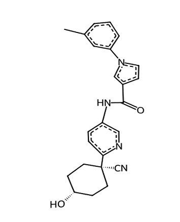 Cc1cccc(-n2ccc(C(=O)Nc3ccc([C@]4(C#N)CC[C@@H](O)CC4)nc3)c2)c1